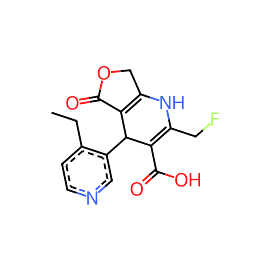 CCc1ccncc1C1C(C(=O)O)=C(CF)NC2=C1C(=O)OC2